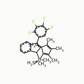 CC1=C(C)C(C)[C]([Zr]([CH3])([CH3])(=[SiH2])[CH]2C=C(c3cc(F)c(F)c(F)c3F)c3ccccc32)=C1C